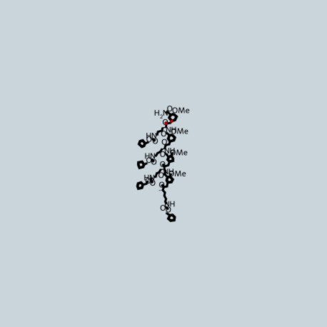 COc1ccc(CC(=O)[C@H](CCCCNC(=O)OCc2ccccc2)NC(=O)c2cc(CC(=O)[C@H](CCCCNC(=O)OCc3ccccc3)NC(=O)c3cc(CC(=O)[C@H](CCCCNC(=O)OCc4ccccc4)NC(=O)c4cc(CC(=O)[C@@H](C)CCCCNC(=O)OCc5ccccc5)ccc4OC)ccc3OC)ccc2OC)cc1C(N)=O